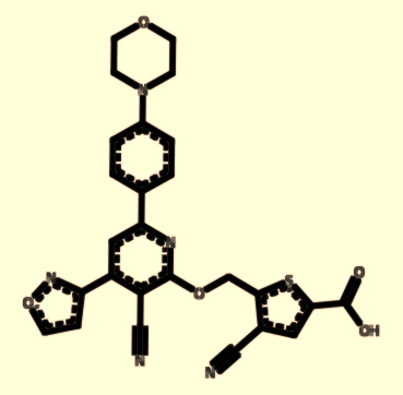 N#Cc1cc(C(=O)O)sc1COc1nc(-c2ccc(N3CCOCC3)cc2)cc(-c2ccon2)c1C#N